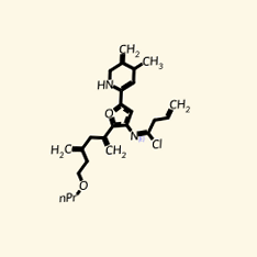 C=CC/C(Cl)=N\c1cc(C2=CC(C)C(=C)CN2)oc1C(=C)CC(=C)CCOCCC